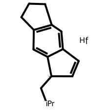 CC(C)C[C]1C=Cc2cc3c(cc21)CCC3.[Hf]